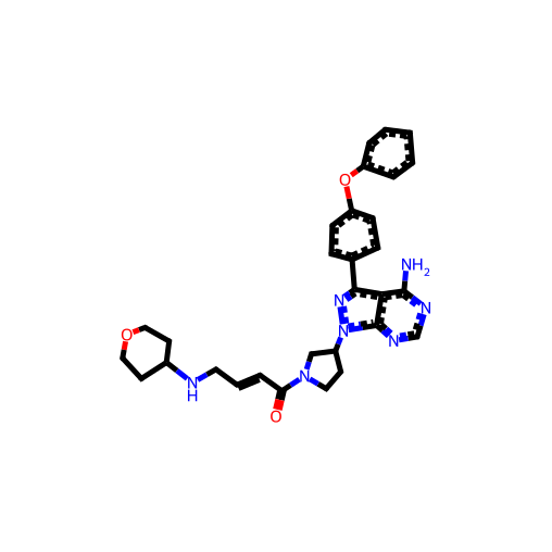 Nc1ncnc2c1c(-c1ccc(Oc3ccccc3)cc1)nn2C1CCN(C(=O)C=CCNC2CCOCC2)C1